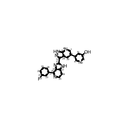 Oc1cncc(-c2cnc3[nH]nc(-c4nc5c(-c6cccc(F)c6)nccc5[nH]4)c3c2)c1